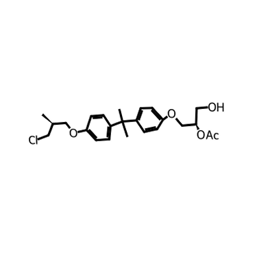 CC(=O)O[C@H](CO)COc1ccc(C(C)(C)c2ccc(OC[C@H](C)CCl)cc2)cc1